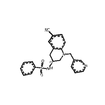 N#Cc1ccc2c(c1)C[C@H](NS(=O)(=O)c1ccccc1)CN2Cc1cccnc1